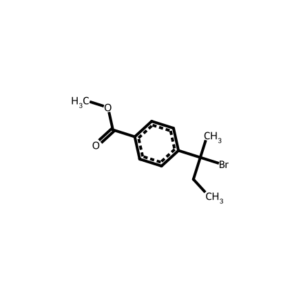 CCC(C)(Br)c1ccc(C(=O)OC)cc1